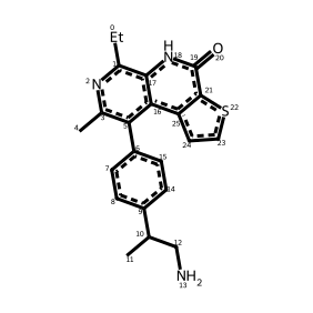 CCc1nc(C)c(-c2ccc(C(C)CN)cc2)c2c1[nH]c(=O)c1sccc12